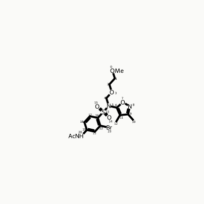 COCCOCN(c1onc(C)c1C)S(=O)(=O)c1ccc(NC(C)=O)cc1Br